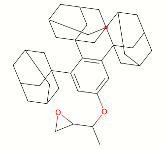 CC(Oc1cc(C23CC4CC(CC(C4)C2)C3)c(C23CC4CC(CC(C4)C2)C3)c(C23CC4CC(CC(C4)C2)C3)c1)C1CO1